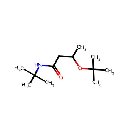 CC(CC(=O)NC(C)(C)C)OC(C)(C)C